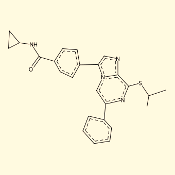 CC(C)Sc1nc(-c2ccccc2)cn2c(-c3ccc(C(=O)NC4CC4)cc3)cnc12